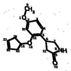 COc1ccc(C2CNC(=O)C2)c(OC2CC=CC2)c1